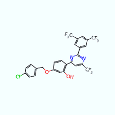 Oc1cc(OCc2ccc(Cl)cc2)ccc1-c1cc(C(F)(F)F)nc(-c2cc(C(F)(F)F)cc(C(F)(F)F)c2)n1